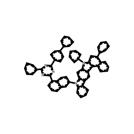 c1ccc(-c2ccc(-c3nc(-c4ccccc4)nc(-c4cccc5cc(-n6c7ccccc7c7cc8c9c%10ccccc%10c(-c%10ccccc%10)cc9n(-c9ccccc9)c8cc76)ccc45)n3)cc2)cc1